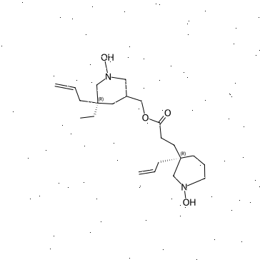 C=CC[C@]1(CCC(=O)OCC2CN(O)C[C@](CC)(CC=C)C2)CCCN(O)C1